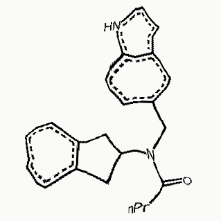 CCCC(=O)N(Cc1ccc2[nH]ccc2c1)C1Cc2ccccc2C1